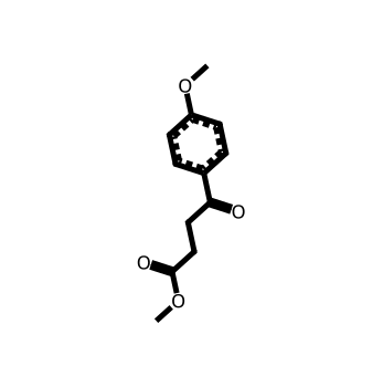 COC(=O)CCC(=O)c1ccc(OC)cc1